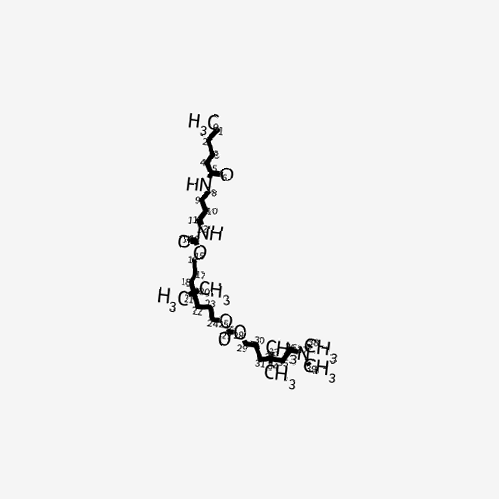 CCCCCC(=O)NCCCCNC(=O)OCCCC(C)(C)CCCOC(=O)OCCCC(C)(C)CCN(C)C